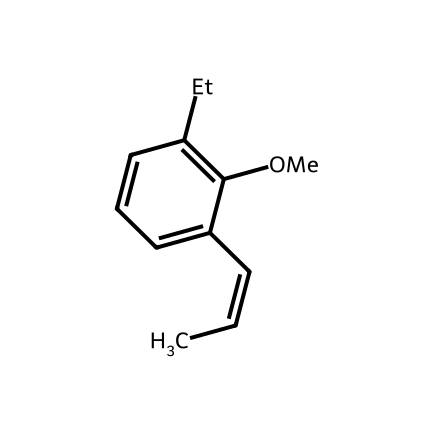 C/C=C\c1cccc(CC)c1OC